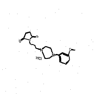 COc1cccc(N2CCN(CCCN3C(=O)CCC3=O)CC2)c1.Cl